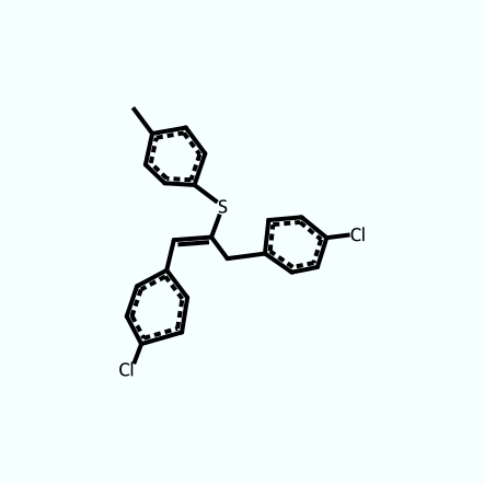 Cc1ccc(SC(=Cc2ccc(Cl)cc2)Cc2ccc(Cl)cc2)cc1